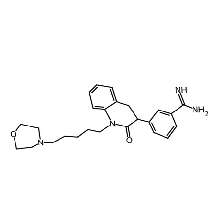 N=C(N)c1cccc(C2Cc3ccccc3N(CCCCCN3CCOCC3)C2=O)c1